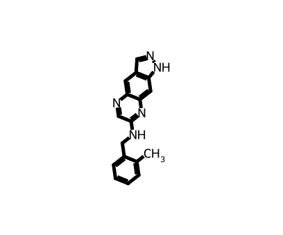 Cc1ccccc1CNc1cnc2cc3cn[nH]c3cc2n1